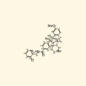 COc1cccc(S(=O)(=O)[N+]2(C(C)=O)c3ccc(C(=O)NCc4ncccc4Cl)cc3C3(CCNCC3)C2C2CC2)c1